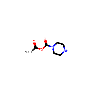 COC(=O)OC(=O)N1CCNCC1